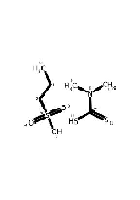 CCCS(=O)(=O)O.CN(C)C(=S)S